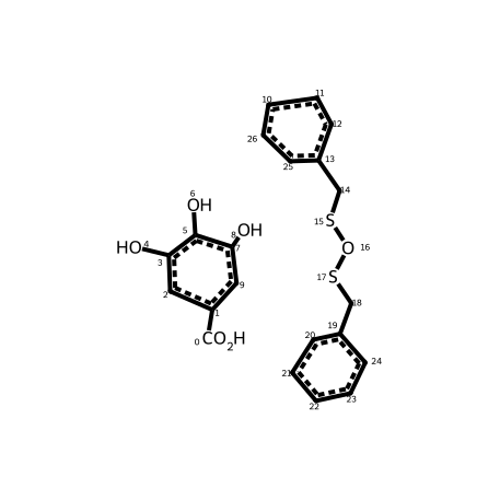 O=C(O)c1cc(O)c(O)c(O)c1.c1ccc(CSOSCc2ccccc2)cc1